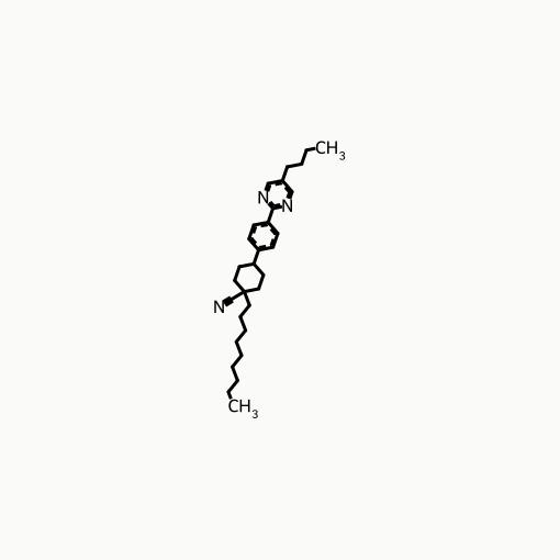 CCCCCCCCCC1(C#N)CCC(c2ccc(-c3ncc(CCCC)cn3)cc2)CC1